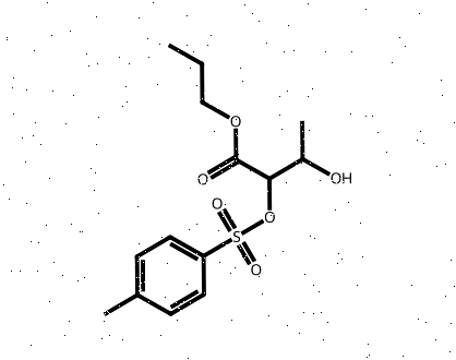 CCCOC(=O)C(OS(=O)(=O)c1ccc(C)cc1)C(C)O